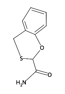 NC(=O)C1Oc2ccccc2CS1